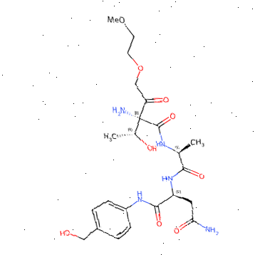 COCCOCC(=O)[C@@](N)(C(=O)N[C@@H](C)C(=O)N[C@@H](CC(N)=O)C(=O)Nc1ccc(CO)cc1)[C@@H](C)O